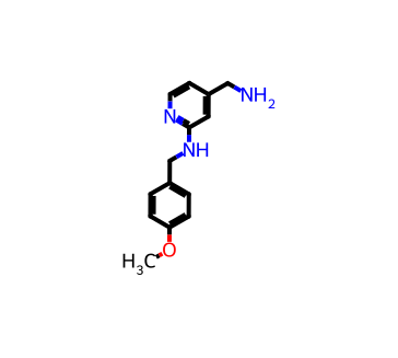 COc1ccc(CNc2cc(CN)ccn2)cc1